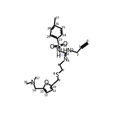 C#CCN/C(=N/CCSCc1ccc(CN(C)C)o1)NS(=O)(=O)c1ccc(C)cc1